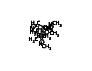 Cc1ccc(-c2c(C)cc(C)c(B(c3c(C)cc(C)c(-c4cccnc4)c3C)c3c(C)cc(C)c(-c4ccc(C)nc4)c3C)c2C)cn1